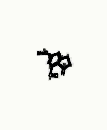 COc1cc(C=O)c2c(c1)CCN2